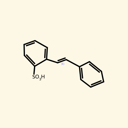 O=S(=O)(O)c1ccccc1/C=C/c1ccccc1